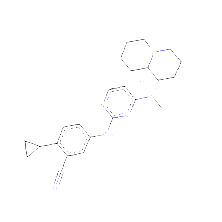 CN(c1ccnc(Nc2ccc(C3CC3)c(C#N)c2)n1)[C@H]1CCCN2CCCC[C@H]12